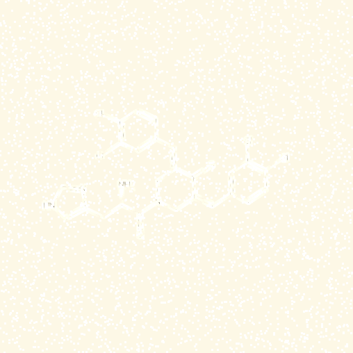 N[C@@H](Cc1c[nH]cn1)C(=O)N1C/C(=C/c2ccc(Cl)c(Cl)c2)C(=O)/C(=C/c2ccc(Cl)c(Cl)c2)C1